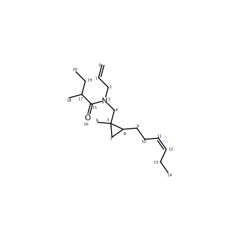 C=CCN(CC1(C)CC1CC/C=C\CC)C(=O)C(C)CC